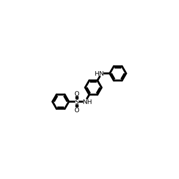 O=S(=O)(Nc1ccc(Nc2ccccc2)cc1)c1ccccc1